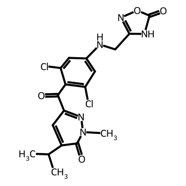 CC(C)c1cc(C(=O)c2c(Cl)cc(NCc3noc(=O)[nH]3)cc2Cl)nn(C)c1=O